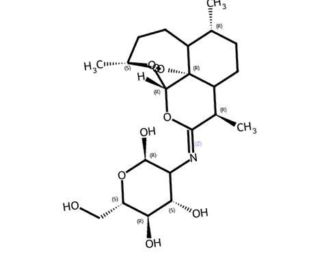 C[C@@H]1CCC2[C@@H](C)/C(=N/C3[C@H](O)O[C@@H](CO)[C@H](O)[C@H]3O)O[C@@H]3O[C@]4(C)CCC1[C@@]23OO4